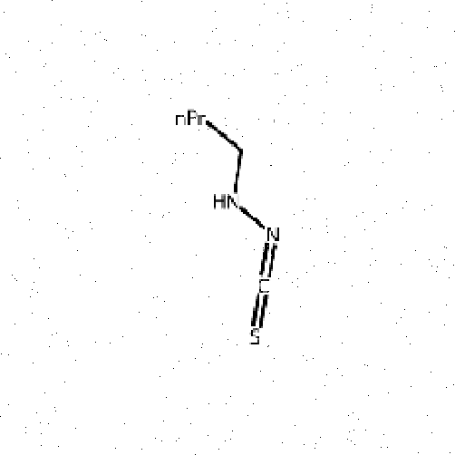 CCCCNN=C=S